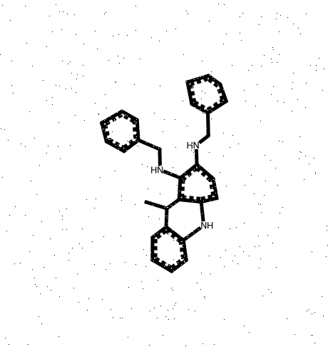 CC1c2ccccc2Nc2ccc(NCc3ccccc3)c(NCc3ccccc3)c21